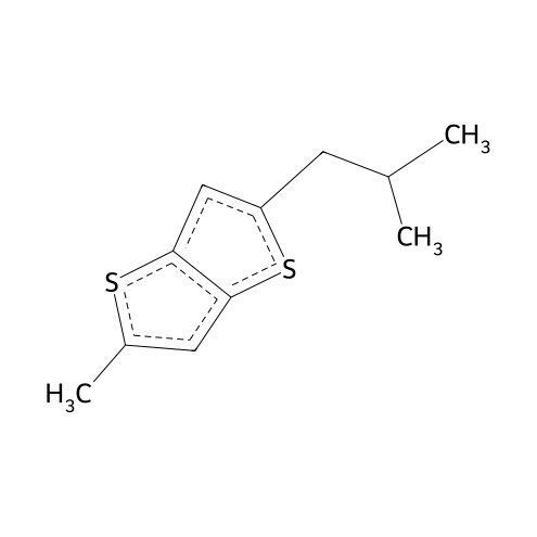 Cc1cc2sc(CC(C)C)cc2s1